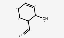 O=CC1CCC=CC1O